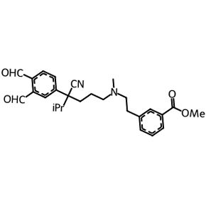 COC(=O)c1cccc(CCN(C)CCCC(C#N)(c2ccc(C=O)c(C=O)c2)C(C)C)c1